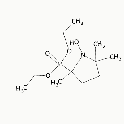 CCOP(=O)(OCC)C1(C)CCC(C)(C)N1O